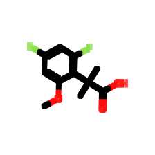 COc1cc(F)cc(F)c1C(C)(C)C(=O)O